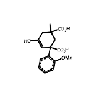 COc1ccccc1C1(C(=O)O)C=C(O)CC(C)(C(=O)O)C1